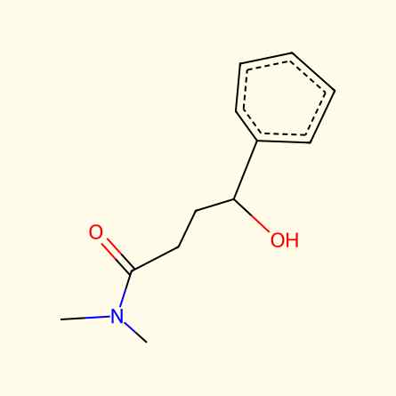 CN(C)C(=O)CCC(O)c1ccccc1